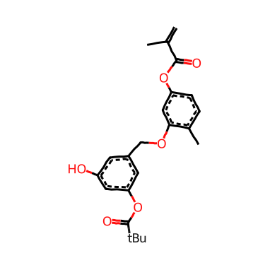 C=C(C)C(=O)Oc1ccc(C)c(OCc2cc(O)cc(OC(=O)C(C)(C)C)c2)c1